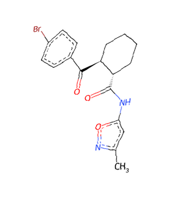 Cc1cc(NC(=O)[C@H]2CCCC[C@@H]2C(=O)c2ccc(Br)cc2)on1